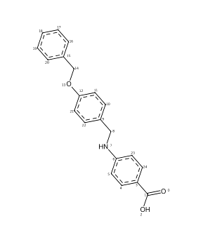 O=C(O)c1ccc(NCc2ccc(OCc3ccccc3)cc2)cc1